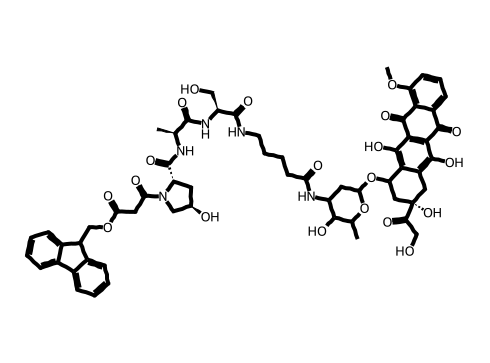 COc1cccc2c1C(=O)c1c(O)c3c(c(O)c1C2=O)C[C@@](O)(C(=O)CO)CC3OC1CC(NC(=O)CCCCNC(=O)[C@H](CO)NC(=O)[C@H](C)NC(=O)[C@@H]2C[C@@H](O)CN2C(=O)CC(=O)OCC2c3ccccc3-c3ccccc32)C(O)C(C)O1